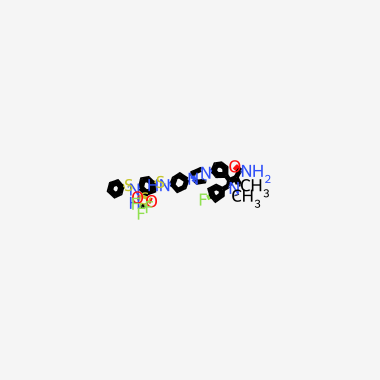 Cc1c(C(N)=O)c(-c2cccc(N3CCN(C4=CC=C(NSc5ccc(NSc6ccccc6)c(S(=O)(=O)C(F)(F)F)c5)CC4)CC3)c2)c(-c2ccc(F)cc2)n1C